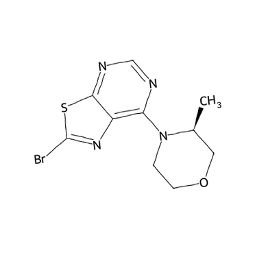 C[C@H]1COCCN1c1ncnc2sc(Br)nc12